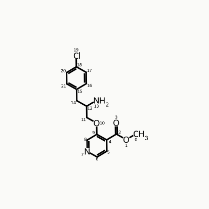 COC(=O)c1ccncc1OCC(N)Cc1ccc(Cl)cc1